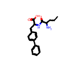 CCCC(N)C(=O)NC(Cc1ccc(-c2ccccc2)cc1)C(=O)O